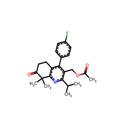 CC(=O)OCc1c(C(C)C)nc2c(c1-c1ccc(F)cc1)CCC(=O)C2(C)C